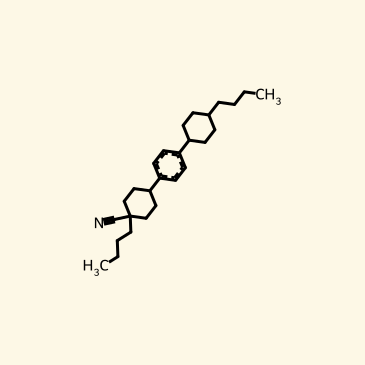 CCCCC1CCC(c2ccc(C3CCC(C#N)(CCCC)CC3)cc2)CC1